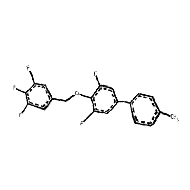 Cc1ccc(-c2cc(F)c(OCc3cc(F)c(F)c(F)c3)c(F)c2)cc1